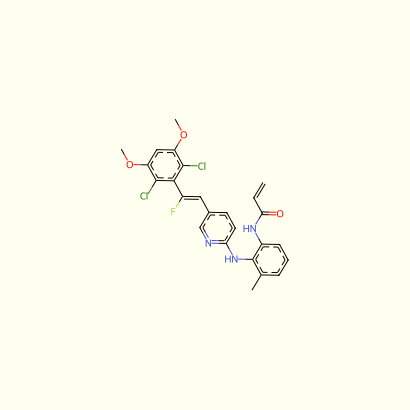 C=CC(=O)Nc1cccc(C)c1Nc1ccc(/C=C(\F)c2c(Cl)c(OC)cc(OC)c2Cl)cn1